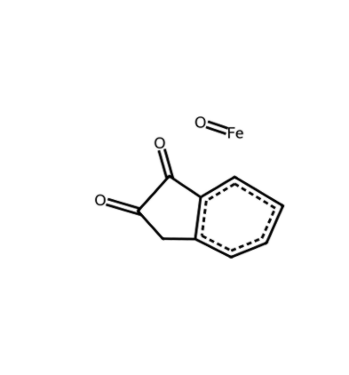 O=C1Cc2ccccc2C1=O.[O]=[Fe]